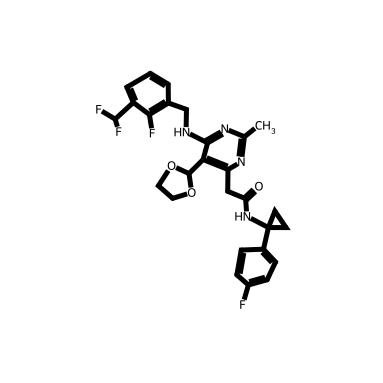 Cc1nc(CC(=O)NC2(c3ccc(F)cc3)CC2)c(C2OCCO2)c(NCc2cccc(C(F)F)c2F)n1